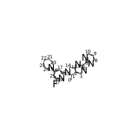 CC1c2cnc(-c3ncccn3)nc2CN1c1cc(N2CCCCC2)cc(F)n1